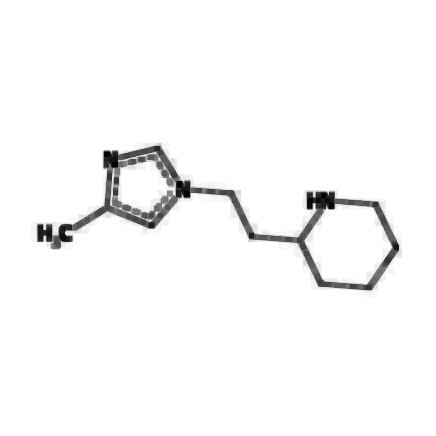 Cc1cn(CCC2CCCCN2)cn1